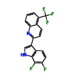 Fc1ccc2c(-c3ccc4c(C(F)(F)F)cccc4n3)c[nH]c2c1F